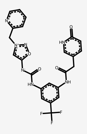 O=C(Cc1ccc(=O)[nH]c1)Nc1cc(NC(=O)[N-]c2c[n+](Cc3ccccn3)no2)cc(C(F)(F)F)c1